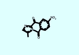 Cc1cnc2n1C(=O)c1ccc([N+](=O)[O-])cc1C2=O